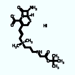 CC(C)(C)OC(=O)CNCCC[N+](C)(C)C/C=C/C1=C(C(=O)[O-])N2C(=O)[C@@H](N)[C@H]2SC1.I